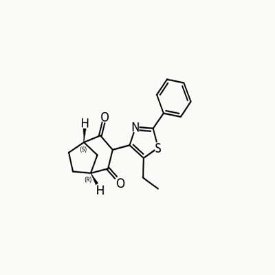 CCc1sc(-c2ccccc2)nc1C1C(=O)[C@@H]2CC[C@@H](C2)C1=O